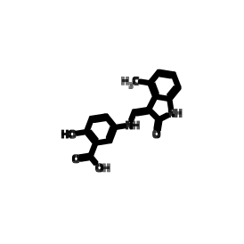 Cc1cccc2c1/C(=C/Nc1ccc(O)c(C(=O)O)c1)C(=O)N2